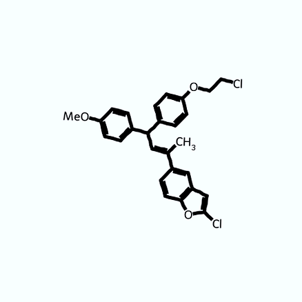 COc1ccc(C(C=C(C)c2ccc3oc(Cl)cc3c2)c2ccc(OCCCl)cc2)cc1